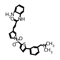 CN(C)Cc1cccc(-c2ccc(S(=O)(=O)n3ccc(C=CC(=O)Nc4ccccc4N)c3)s2)c1